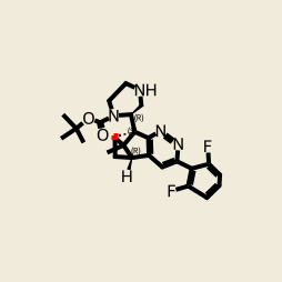 CC(C)(C)OC(=O)N1CCNC[C@H]1[C@@]12CC[C@@H](c3cc(-c4c(F)cccc4F)nnc31)C2(C)C